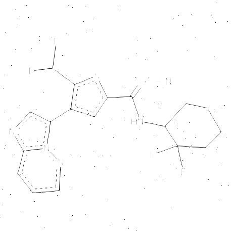 N[C@@H]1CCCC(F)(F)C1NC(=O)c1cc(-c2cnc3cccnn23)c(C(F)F)s1